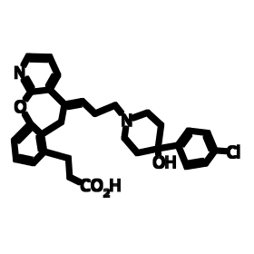 O=C(O)CCc1cccc2c1CC(=CCCN1CCC(O)(c3ccc(Cl)cc3)CC1)c1cccnc1O2